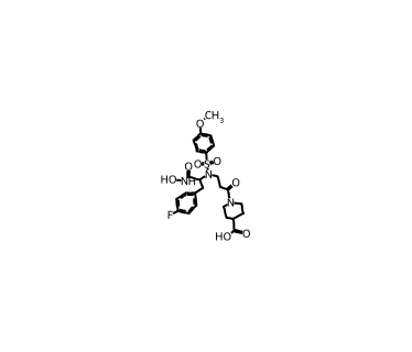 COc1ccc(S(=O)(=O)N(CCC(=O)N2CCC(C(=O)O)CC2)C(Cc2ccc(F)cc2)C(=O)NO)cc1